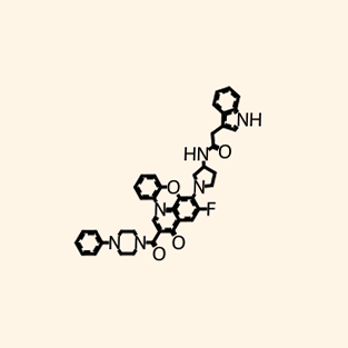 O=C(Cc1c[nH]c2ccccc12)NC1CCN(c2c(F)cc3c(=O)c(C(=O)N4CCN(c5ccccc5)CC4)cn4c3c2Oc2ccccc2-4)C1